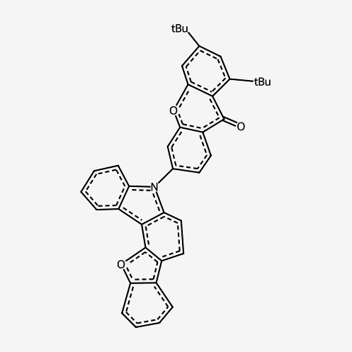 CC(C)(C)c1cc(C(C)(C)C)c2c(=O)c3ccc(-n4c5ccccc5c5c6oc7ccccc7c6ccc54)cc3oc2c1